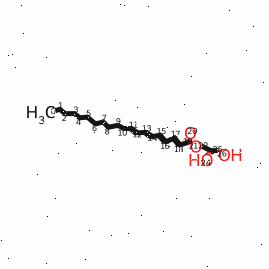 CCCCCCCCCCC/C=C/C=C/C=C/C=C/C(=O)OCC(O)CO